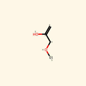 C=C(O)COCC